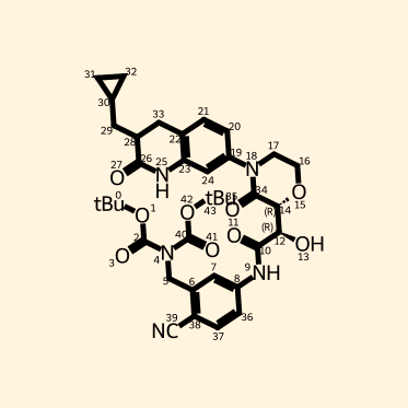 CC(C)(C)OC(=O)N(Cc1cc(NC(=O)[C@H](O)[C@H]2OCCN(c3ccc4c(c3)NC(=O)C(CC3CC3)C4)C2=O)ccc1C#N)C(=O)OC(C)(C)C